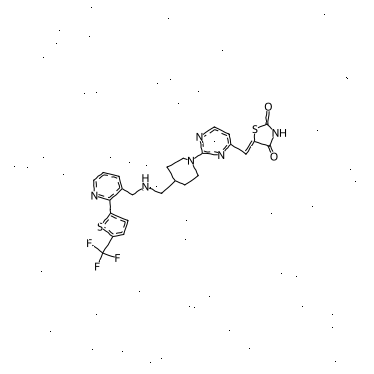 O=C1NC(=O)/C(=C/c2ccnc(N3CCC(CNCc4cccnc4-c4ccc(C(F)(F)F)s4)CC3)n2)S1